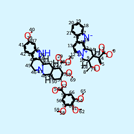 COC(=O)C1=CO[C@@H](C)[C@H]2C[n+]3ccc4c([n-]c5ccccc54)c3C[C@H]12.COC(=O)[C@H]1[C@H]2C[C@@H]3c4[nH]c5cc(OC)ccc5c4CCN3C[C@H]2C[C@@H](OC(=O)c2cc(OC)c(OC)c(OC)c2)[C@@H]1OC